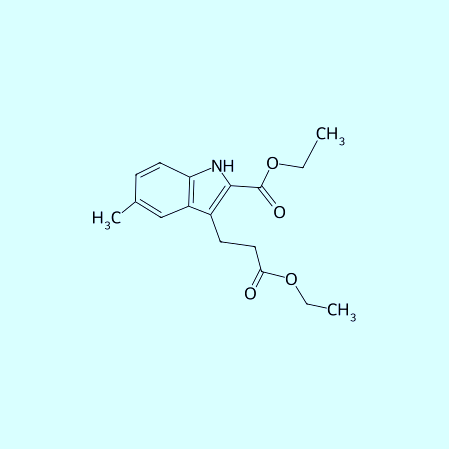 CCOC(=O)CCc1c(C(=O)OCC)[nH]c2ccc(C)cc12